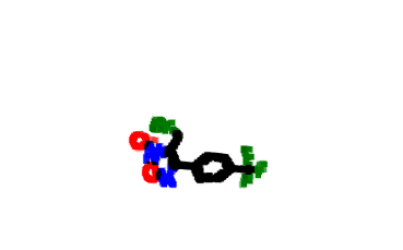 [O-][n+]1onc(-c2ccc(C(F)(F)F)cc2)c1CBr